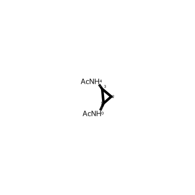 CC(=O)NC1CC1NC(C)=O